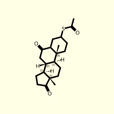 CC(=O)SC1CC[C@@]2(C)C(C1)C(=O)C[C@@H]1[C@@H]2CC[C@]2(C)C(=O)CC[C@@H]12